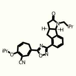 CC(C)CN1C(=O)C[C@@H]2Cc3c(-c4noc(C5=CC(C#N)=C(OC(C)C)C=CC5)n4)cccc3[C@@H]21